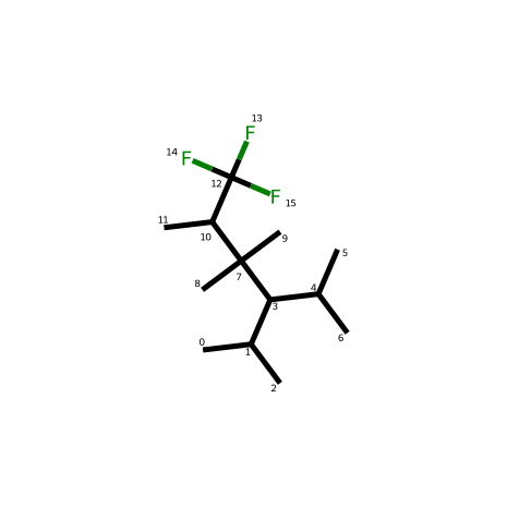 CC(C)C(C(C)C)C(C)(C)C(C)C(F)(F)F